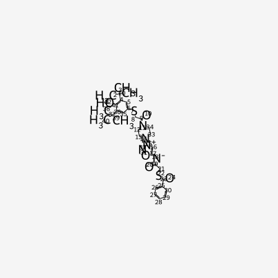 CC(C)(C)c1cc(SCC(=O)N2CCN([n+]3cc([N-]C(=O)CSC(=O)c4ccccc4)on3)CC2)cc(C(C)(C)C)c1O